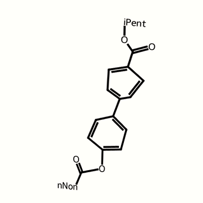 CCCCCCCCCC(=O)Oc1ccc(-c2ccc(C(=O)OC(C)CCC)cc2)cc1